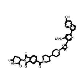 CNc1cc(-c2ccc3cc(C#N)cnn23)ncc1-c1nnc(N2CCC(C3CCN(C(=O)c4ccc5c(c4)C(=O)N(C4CCC(=O)NC4=O)C5=O)CC3)CC2)s1